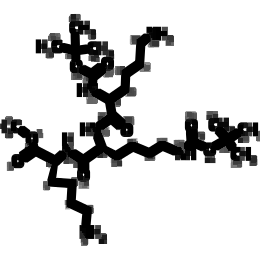 COC(=O)[C@H](CCCCN)NC(=O)[C@H](CCCCNC(=O)OC(C)(C)C)NC(=O)C(CCCCN)NC(=O)OC(C)(C)C